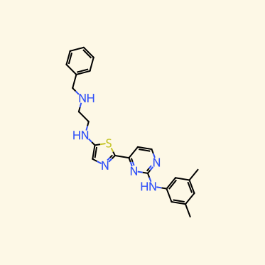 Cc1cc(C)cc(Nc2nccc(-c3ncc(NCCNCc4ccccc4)s3)n2)c1